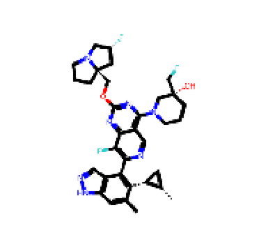 Cc1cc2[nH]ncc2c(-c2ncc3c(N4CCC[C@](O)(CF)C4)nc(OC[C@@]45CCCN4C[C@H](F)C5)nc3c2F)c1[C@@H]1C[C@@H]1C